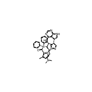 Cc1ccn2c1C(=O)[N+](c1ccccc1)(c1ccccc1)C(C(C)Nc1ncnc3[nH]cc(-c4cnn(CCCN(C)C)c4)c13)=N2